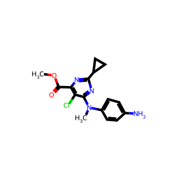 COC(=O)c1nc(C2CC2)nc(N(C)c2ccc(N)cc2)c1Cl